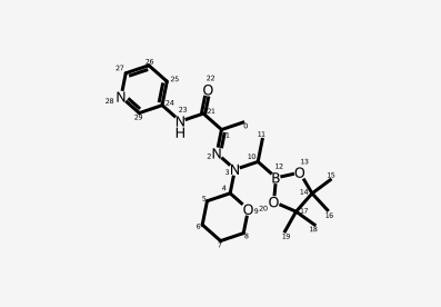 C/C(=N\N(C1CCCCO1)C(C)B1OC(C)(C)C(C)(C)O1)C(=O)Nc1cccnc1